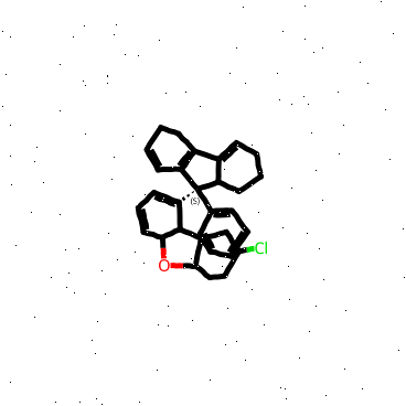 ClC1CCC2OC3C=CC=C([C@]4(c5ccccc5)C5=C(CCC=C5)C5=CCCCC54)C3C2C1